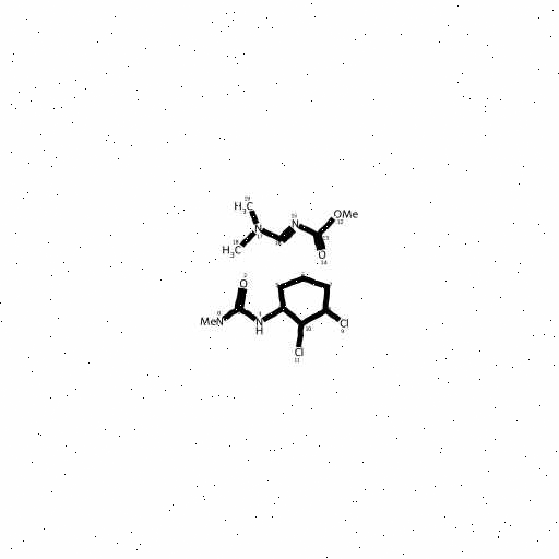 CNC(=O)NC1CCCC(Cl)C1Cl.COC(=O)N=CN(C)C